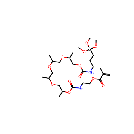 C=C(C)C(=O)OCCNC(=O)OC(C)COC(C)COC(C)COC(C)COC(=O)NCCC[Si](OC)(OC)OC